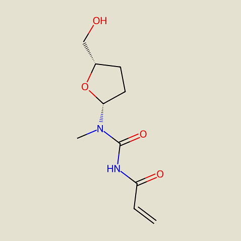 C=CC(=O)NC(=O)N(C)[C@H]1CC[C@@H](CO)O1